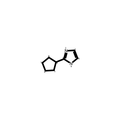 C1=CN=C(C2CCCC2)[N]1